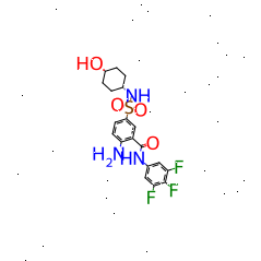 Nc1ccc(S(=O)(=O)N[C@H]2CC[C@H](O)CC2)cc1C(=O)Nc1cc(F)c(F)c(F)c1